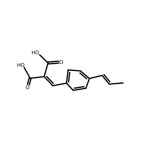 CC=Cc1ccc(C=C(C(=O)O)C(=O)O)cc1